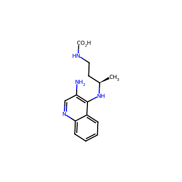 C[C@H](CCNC(=O)O)Nc1c(N)cnc2ccccc12